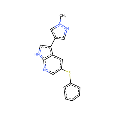 Cn1cc(-c2c[nH]c3ncc(Sc4ccccc4)cc23)cn1